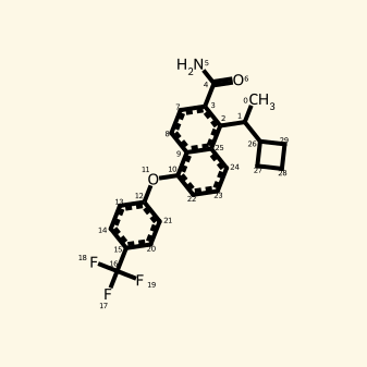 CC(c1c(C(N)=O)ccc2c(Oc3ccc(C(F)(F)F)cc3)cccc12)C1CCC1